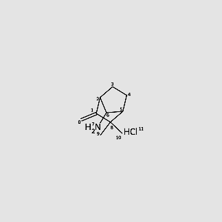 C=C1C2CCC(C2N)C1(C)C.Cl